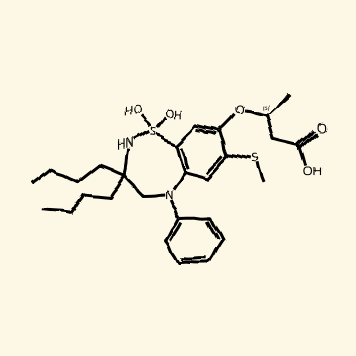 CCCCC1(CCCC)CN(c2ccccc2)c2cc(SC)c(O[C@@H](C)CC(=O)O)cc2S(O)(O)N1